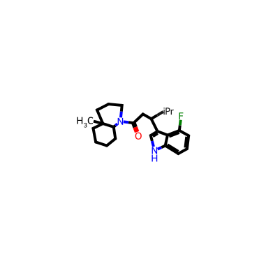 CC(C)C(CC(=O)N1CCCC2(C)CCCCC12)c1c[nH]c2cccc(F)c12